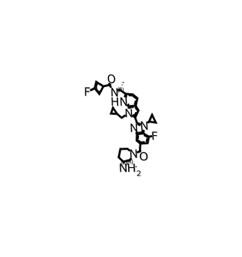 C[C@@H]1[C@H](N)CCCN1C(=O)c1cc(F)c2c(c1)nc(-c1cc3ccc([C@@H](C)NC(=O)C45CC(F)(C4)C5)nc3n1CC1CC1)n2C1CC1